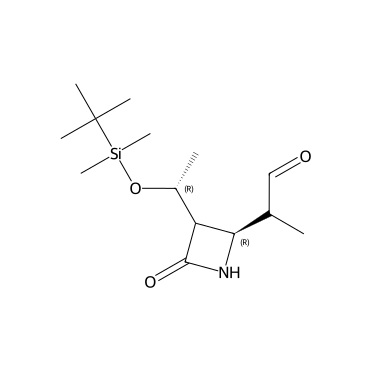 CC(C=O)[C@H]1NC(=O)C1[C@@H](C)O[Si](C)(C)C(C)(C)C